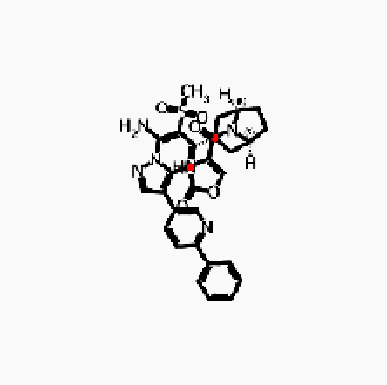 CS(=O)(=O)c1c([C@@H]2C[C@H]3CC[C@@H](C2)N3C(=O)c2coc(=O)[nH]2)nc2c(-c3ccc(-c4ccccc4)nc3)cnn2c1N